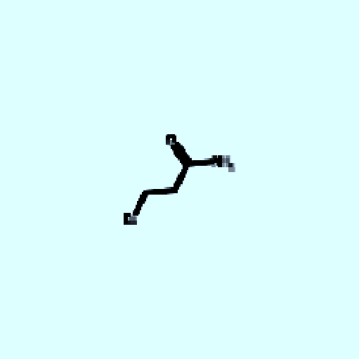 [CH]CCCC(N)=O